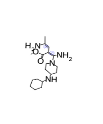 COC(=O)C(/C=C(/C)N)=C(/N)N1CCC(NC2CCCCC2)CC1